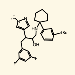 Cn1cc(C(Cc2cc(F)cc(F)c2)C(O)CNC2(c3cccc(C(C)(C)C)c3)CCCCC2)cn1